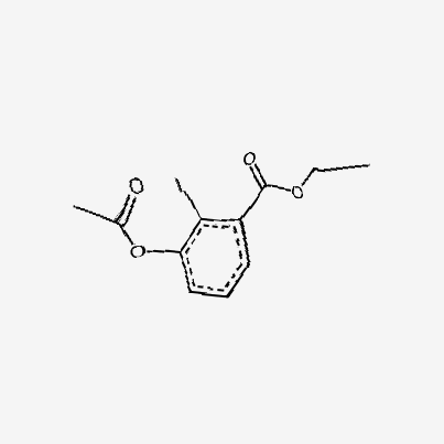 CCOC(=O)c1cccc(OC(C)=O)c1I